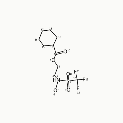 O=C(OCC[NH+]([O-])S(=O)(=O)C(F)(F)F)C1CCCCC1